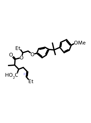 CC/C=C/CC(C(=O)O)C(C)C(=O)OC(CC)COc1ccc(C(C)(C)c2ccc(OC)cc2)cc1